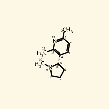 Cc1ccc([C@@H]2CCCN2C)c(C)n1